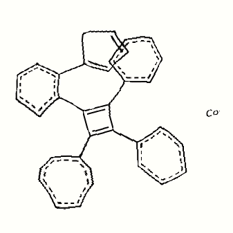 C1=CCC(c2ccccc2C2=C(c3ccccc3)C(c3ccccc3)=C2c2ccccc2)=C1.[Co]